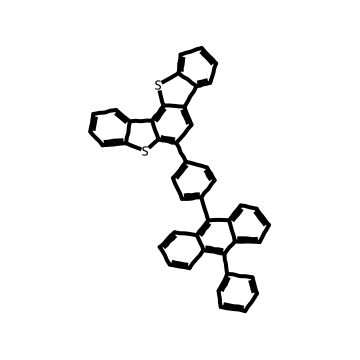 c1ccc(-c2c3ccccc3c(-c3ccc(-c4cc5c6ccccc6sc5c5c4sc4ccccc45)cc3)c3ccccc23)cc1